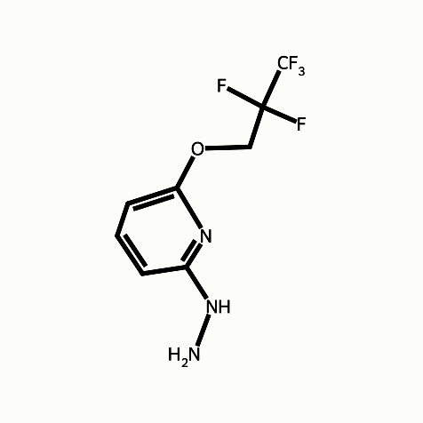 NNc1cccc(OCC(F)(F)C(F)(F)F)n1